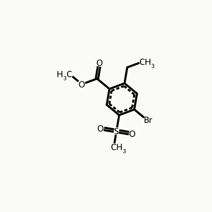 CCc1cc(Br)c(S(C)(=O)=O)cc1C(=O)OC